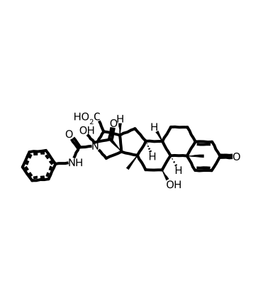 C[C@]12C=CC(=O)C=C1CC[C@@H]1[C@@H]2[C@@H](O)C[C@@]2(C)[C@H]1C[C@H]1C(C(=O)O)N(C(=O)Nc3ccccc3)C[C@]12C(=O)CO